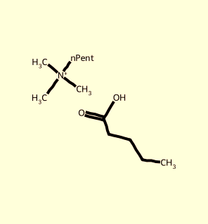 CCCCC(=O)O.CCCCC[N+](C)(C)C